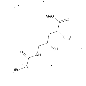 COC(=O)[C@@H](C[C@H](O)CNC(=O)OC(C)(C)C)C(=O)O